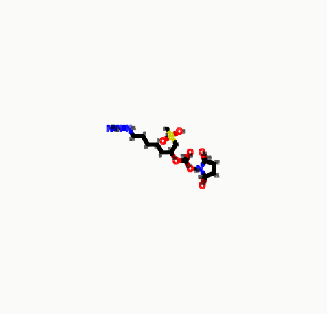 CS(=O)(=O)CC(CCCCCN=[N+]=[N-])OC(=O)ON1C(=O)CCC1=O